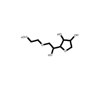 CCCCCCCCCCOCC(O)C1OCC(O)C1O